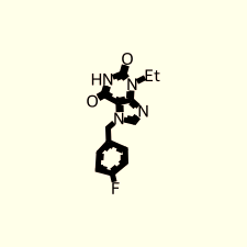 CCn1c(=O)[nH]c(=O)c2c1ncn2Cc1ccc(F)cc1